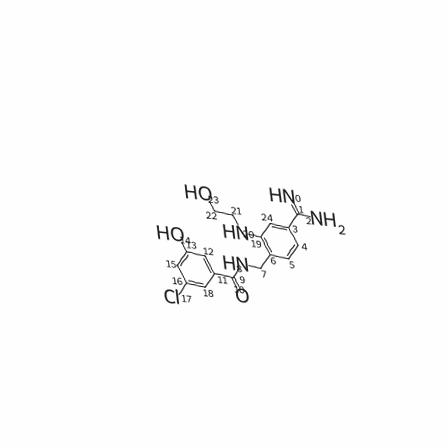 N=C(N)c1ccc(CNC(=O)c2cc(O)cc(Cl)c2)c(NCCO)c1